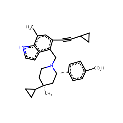 Cc1cc(C#CC2CC2)c(CN2CC[C@](C)(C3CC3)C[C@H]2c2ccc(C(=O)O)cc2)c2cc[nH]c12